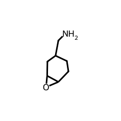 NCC1CCC2OC2C1